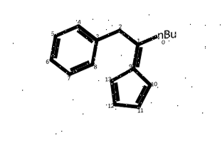 CCCCC(Cc1ccccc1)=C1[C]=CC=C1